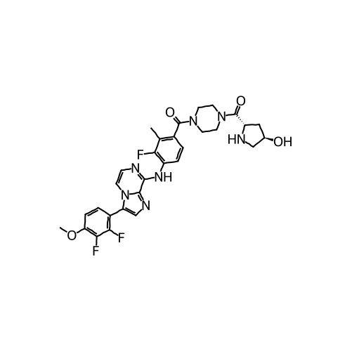 COc1ccc(-c2cnc3c(Nc4ccc(C(=O)N5CCN(C(=O)[C@@H]6C[C@@H](O)CN6)CC5)c(C)c4F)nccn23)c(F)c1F